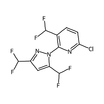 FC(F)c1cc(C(F)F)n(-c2nc(Cl)ccc2C(F)F)n1